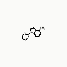 Nc1cccc2c1ccn2-c1ncccn1